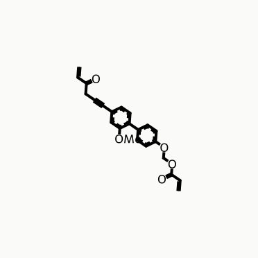 C=CC(=O)CC#Cc1ccc(-c2ccc(OCOC(=O)C=C)cc2)c(OC)c1